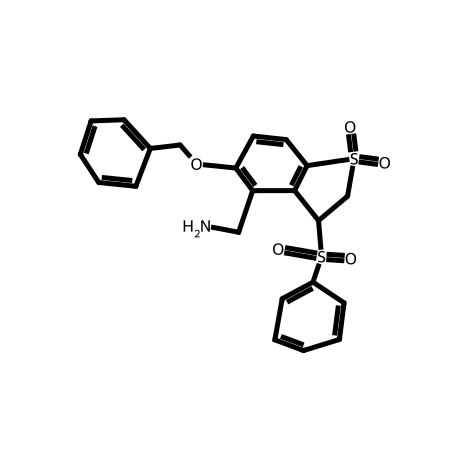 NCc1c(OCc2ccccc2)ccc2c1C(S(=O)(=O)c1ccccc1)CS2(=O)=O